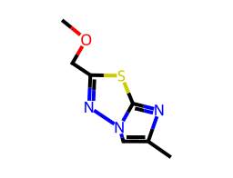 COCc1nn2cc(C)nc2s1